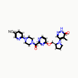 Cc1c(N2CCC[C@H]2COc2ccnc(C(=O)N3CCN(c4ccc(C#N)cn4)CC3)n2)cn[nH]c1=O